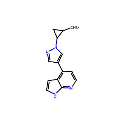 O=CC1[CH]C1n1cc(-c2ccnc3[nH]ccc23)cn1